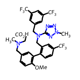 COc1ccc(CN(C)CC(=O)O)cc1-c1ccc(C(F)(F)F)cc1CN(Cc1cc(C(F)(F)F)cc(C(F)(F)F)c1)c1nnn(C)n1